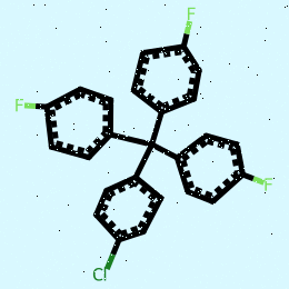 Fc1ccc(C(c2ccc(F)cc2)(c2ccc(F)cc2)c2ccc(Cl)cc2)cc1